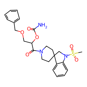 CS(=O)(=O)N1CC2(CCN(C(=O)C(COCc3ccccc3)OC(N)=O)CC2)c2ccccc21